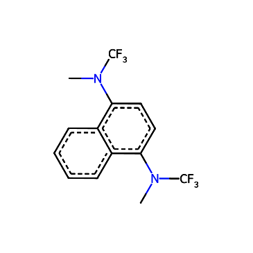 CN(c1ccc(N(C)C(F)(F)F)c2ccccc12)C(F)(F)F